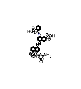 Nc1nc(Cl)nc(Nc2ccc(N=Nc3ccc(/N=N/c4ccccc4S(=O)(=O)O)c4cc(S(=O)(=O)O)ccc34)c3cccc(S(=O)(=O)O)c23)n1